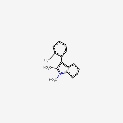 Cc1ccccc1-c1c(C(=O)O)n(C(=O)O)c2ccccc12